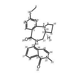 CSc1ncc2c(n1)N1CCC[C@H]1CN(c1cccc3c(=O)n(C)ccc13)C2=O